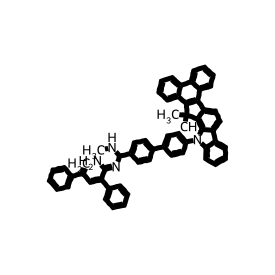 C=C(/C=C(\C(N)=N\C(NC)c1ccc(-c2ccc(-n3c4ccccc4c4ccc5c(c43)C(C)(C)c3c-5c4ccccc4c4ccccc34)cc2)cc1)c1ccccc1)c1ccccc1